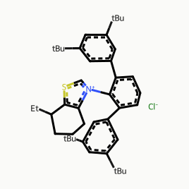 CCC1CCCc2c1sc[n+]2-c1c(-c2cc(C(C)(C)C)cc(C(C)(C)C)c2)cccc1-c1cc(C(C)(C)C)cc(C(C)(C)C)c1.[Cl-]